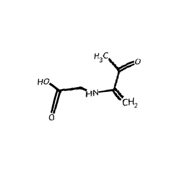 C=C(NCC(=O)O)C(C)=O